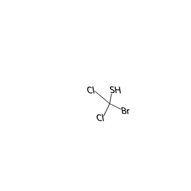 SC(Cl)(Cl)Br